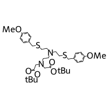 COc1ccc(CSCCN(CCSCc2ccc(OC)cc2)CCN(CC(=O)OC(C)(C)C)CC(=O)OC(C)(C)C)cc1